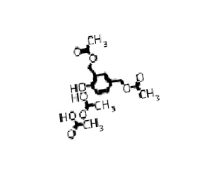 CC(=O)O.CC(=O)O.CC(=O)OCc1ccc(O)c(COC(C)=O)c1